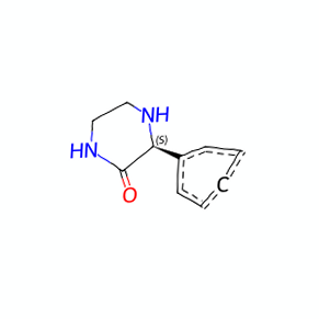 O=C1NCCN[C@H]1c1ccccc1